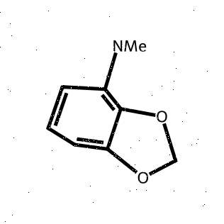 CNc1cccc2c1OCO2